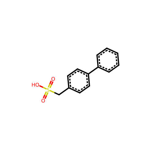 O=S(=O)(O)Cc1ccc(-c2ccccc2)cc1